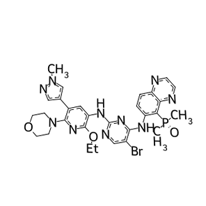 CCOc1nc(N2CCOCC2)c(-c2cnn(C)c2)cc1Nc1ncc(Br)c(Nc2ccc3nccnc3c2P(C)(C)=O)n1